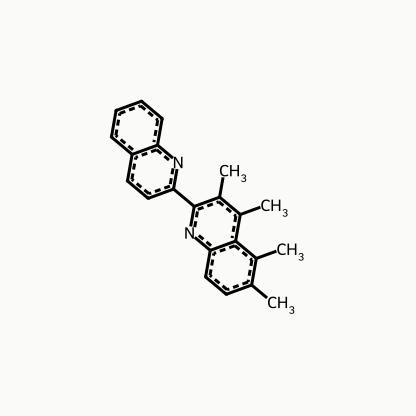 Cc1ccc2nc(-c3ccc4ccccc4n3)c(C)c(C)c2c1C